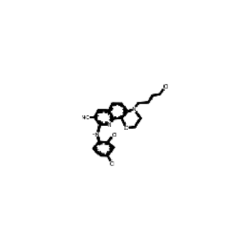 N#Cc1cc2ccc3c(c2nc1Nc1ccc(Cl)cc1Cl)OCCN3CCCCCl